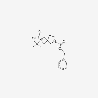 CC(C)(C)[N+]1(C(=O)[O-])CC2(CCN(C(=O)OCc3ccccc3)C2)C1